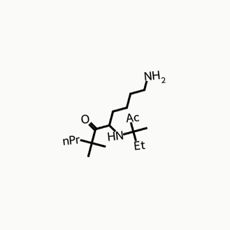 CCCC(C)(C)C(=O)C(CCCCN)NC(C)(CC)C(C)=O